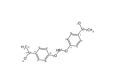 C[S+]([O-])c1ccc(OBOc2ccc([S+](C)[O-])cc2)cc1